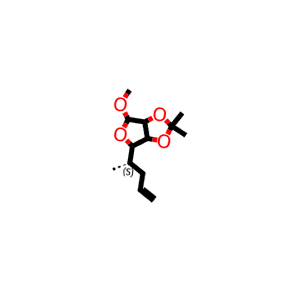 C=CC[C@H](C)C1OC(OC)C2OC(C)(C)OC21